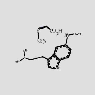 CCCN(CCC)CCc1c[nH]c2ccc(NC=O)cc12.O=C(O)/C=C\C(=O)O